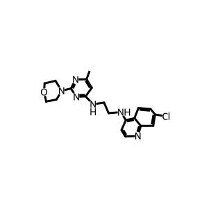 Cc1cc(NCCNc2ccnc3cc(Cl)ccc23)nc(N2CCOCC2)n1